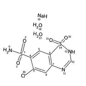 NS(=O)(=O)c1cc2c(cc1Cl)N=CNS2(=O)=O.O.O.[NaH]